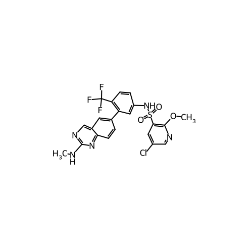 CNc1ncc2cc(-c3cc(NS(=O)(=O)c4cc(Cl)cnc4OC)ccc3C(F)(F)F)ccc2n1